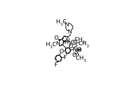 CCS(=O)(=O)Nc1ccc(Oc2ccc(F)cc2F)c(-c2cn(C)c(=O)c3cc(CN4CCCN(C)CC4)n(COCC[Si](C)(C)C)c23)c1